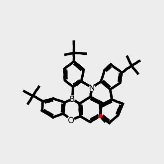 Cc1cc2c3c(c1)N(c1ccc(C(C)(C)C)cc1-c1ccccc1)c1cc(C(C)(C)C)ccc1B3c1cc(C(C)(C)C)ccc1O2